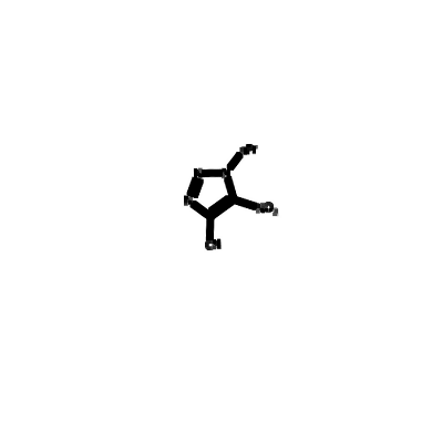 CCCn1nnc(C#N)c1[N+](=O)[O-]